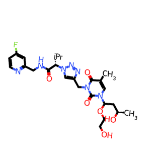 Cc1cn(C(C[C@@H](C)O)OCCO)c(=O)n(Cc2cn([C@H](C(=O)NCc3cc(F)ccn3)C(C)C)nn2)c1=O